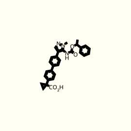 CC(OC(=O)Nc1c(-c2ccc(-c3ccc(C4(C(=O)O)CC4)cc3)cc2)cnn1C)c1ccccc1